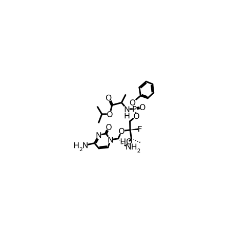 CC(C)OC(=O)C(C)NP(=O)(OC[C@@](F)(O[C@H](CN)n1ccc(N)nc1=O)[C@H](C)O)Oc1ccccc1